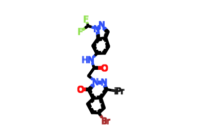 CC(C)c1nn(CC(=O)Nc2ccc3cnn(C(F)F)c3c2)c(=O)c2ccc(Br)cc12